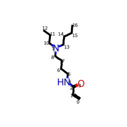 C=CC(=O)NCCCCN(CCC)CCCC